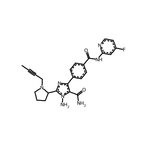 CC#CCN1CCCC1c1nc(-c2ccc(C(=O)Nc3cc(F)ccn3)cc2)c(C(N)=O)n1N